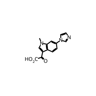 Cn1cc(C(=O)C(=O)O)c2ccc(-n3ccnc3)cc21